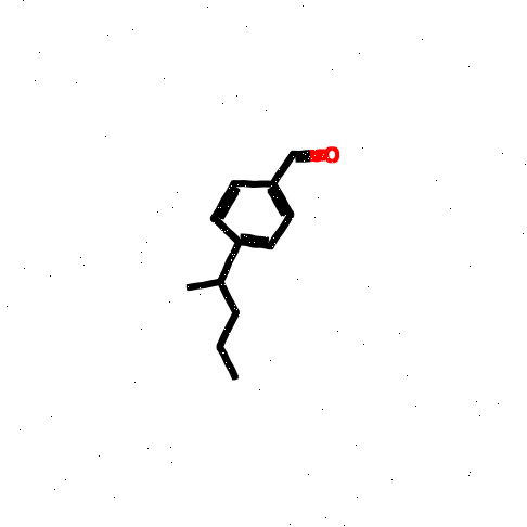 CCCC(C)c1ccc(C=O)cc1